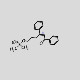 CC(C)(C)[Si](C)(C)OCCC/C(=C\C(=O)c1ccccc1)c1ccccc1